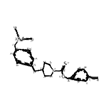 Cc1ccc(OC(=S)N2CCC(Cc3ccc(CN(C)C)cc3)CC2)cc1